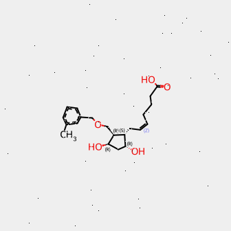 Cc1cccc(COC[C@H]2[C@H](C/C=C\CCCC(=O)O)[C@H](O)C[C@H]2O)c1